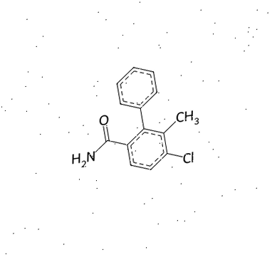 Cc1c(Cl)ccc(C(N)=O)c1-c1ccccc1